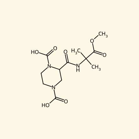 COC(=O)C(C)(C)NC(=O)C1CN(C(=O)O)CCN1C(=O)O